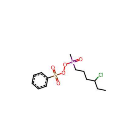 CCC(Cl)CCCP(C)(=O)OOS(=O)(=O)c1ccccc1